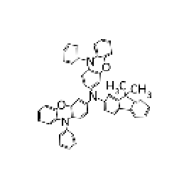 CC1(C)c2ccccc2-c2ccc(N(c3ccc4c(c3)Oc3ccccc3N4c3ccccc3)c3ccc4c(c3)Oc3ccccc3N4c3ccccc3)cc21